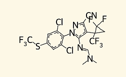 CN(C)C=Nc1c(C2(C(F)(F)F)CC2(F)F)c(C#N)nn1-c1c(Cl)cc(SC(F)(F)F)cc1Cl